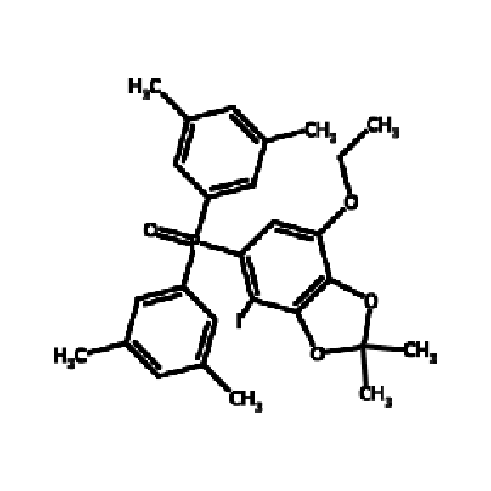 CCOc1cc(P(=O)(c2cc(C)cc(C)c2)c2cc(C)cc(C)c2)c(I)c2c1OC(C)(C)O2